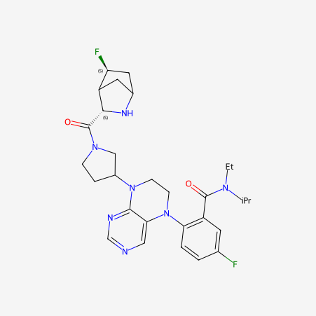 CCN(C(=O)c1cc(F)ccc1N1CCN(C2CCN(C(=O)[C@H]3NC4CC3[C@@H](F)C4)C2)c2ncncc21)C(C)C